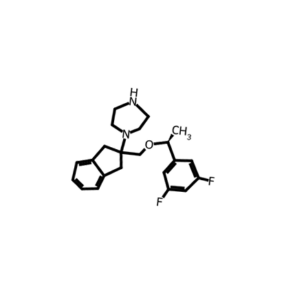 C[C@H](OCC1(N2CCNCC2)Cc2ccccc2C1)c1cc(F)cc(F)c1